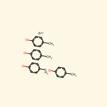 Cc1ccc([O-])cc1.Cc1ccc([O-])cc1.Cc1ccc([O-])cc1.Cc1ccc([O-])cc1.[Zr+4]